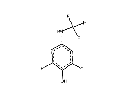 Oc1c(F)cc(NC(F)(F)F)cc1F